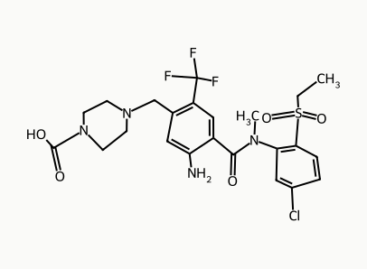 CCS(=O)(=O)c1ccc(Cl)cc1N(C)C(=O)c1cc(C(F)(F)F)c(CN2CCN(C(=O)O)CC2)cc1N